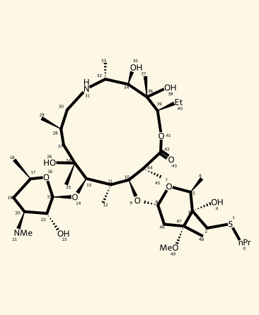 CCCSC[C@]1(O)[C@H](C)O[C@@H](O[C@H]2[C@H](C)[C@@H](O[C@@H]3O[C@H](C)C[C@H](NC)[C@H]3O)[C@](C)(O)C[C@@H](C)CN[C@H](C)[C@@H](O)[C@](C)(O)[C@@H](CC)OC(=O)[C@@H]2C)C[C@@]1(C)OC